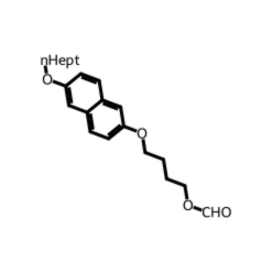 CCCCCCCOc1ccc2cc(OCCCCOC=O)ccc2c1